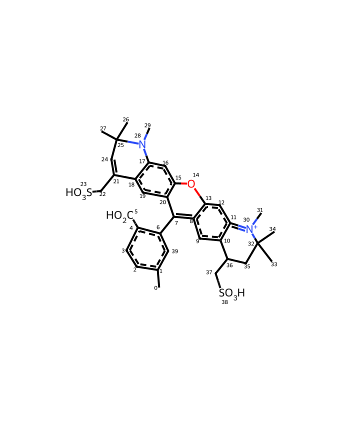 Cc1ccc(C(=O)O)c(C2=c3cc4c(cc3Oc3cc5c(cc32)C(CS(=O)(=O)O)=CC(C)(C)N5C)=[N+](C)C(C)(C)CC4CS(=O)(=O)O)c1